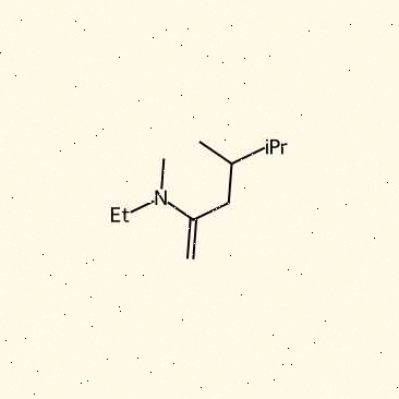 C=C(CC(C)C(C)C)N(C)CC